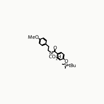 COc1ccc(CCN(C(=O)O)C(=O)c2ccc(O[Si](C)(C)C(C)(C)C)cc2)cc1